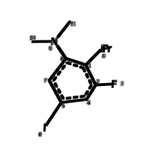 CC(C)c1c(F)cc(I)cc1N(C)C